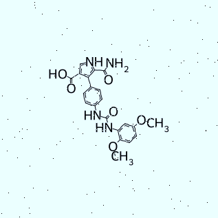 COc1ccc(OC)c(NC(=O)Nc2ccc(-c3c(C(=O)O)c[nH]c3C(N)=O)cc2)c1